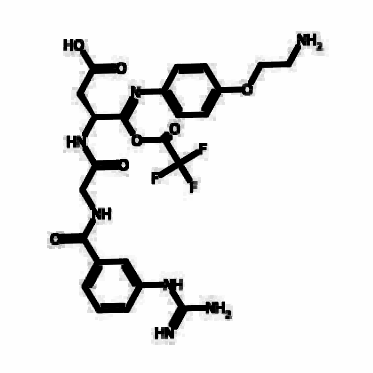 N=C(N)Nc1cccc(C(=O)NCC(=O)N[C@@H](CC(=O)O)C(=Nc2ccc(OCCN)cc2)OC(=O)C(F)(F)F)c1